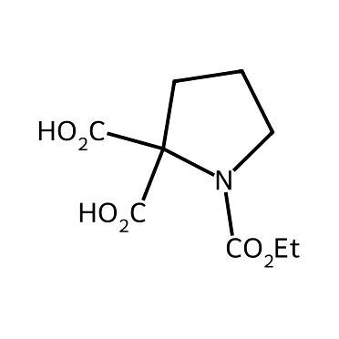 CCOC(=O)N1CCCC1(C(=O)O)C(=O)O